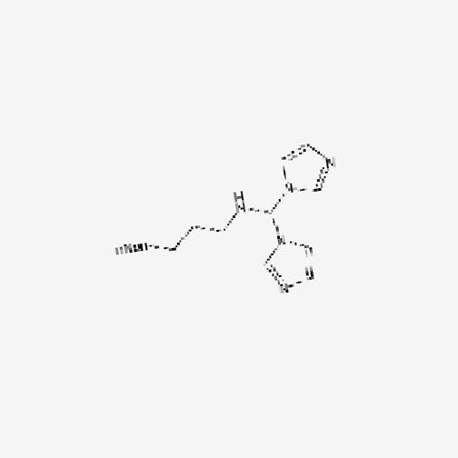 CCCCCCCCCCCCNC(n1ccnc1)n1ccnc1